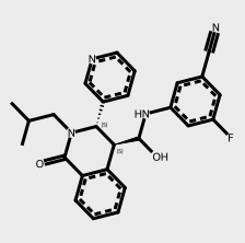 CC(C)CN1C(=O)c2ccccc2[C@H](C(O)Nc2cc(F)cc(C#N)c2)[C@H]1c1cccnc1